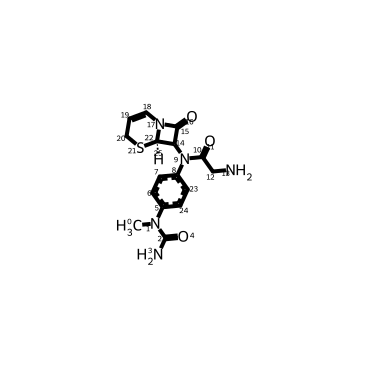 CN(C(N)=O)c1ccc(N(C(=O)CN)C2C(=O)N3C=CCS[C@H]23)cc1